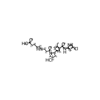 Cc1sc(C2CCCN2C(=O)CCNCCCCC(=O)O)cc1C(=O)Nc1ncc(Cl)s1.Cl